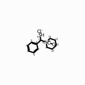 SC(c1ccccc1)[N+]12CCC(CC1)CC2.[Cl-]